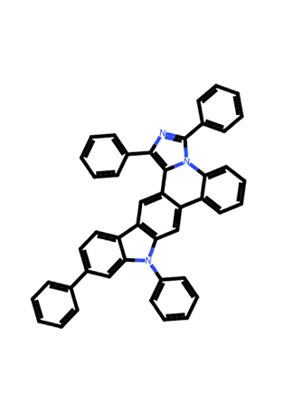 c1ccc(-c2ccc3c4cc5c(cc4n(-c4ccccc4)c3c2)c2ccccc2n2c(-c3ccccc3)nc(-c3ccccc3)c52)cc1